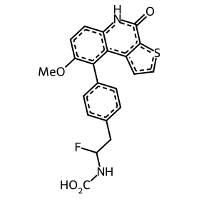 COc1ccc2[nH]c(=O)c3sccc3c2c1-c1ccc(CC(F)NC(=O)O)cc1